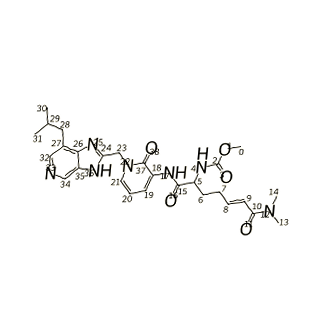 COC(=O)NC(CCC=CC(=O)N(C)C)C(=O)Nc1cccn(Cc2nc3c(CC(C)C)cncc3[nH]2)c1=O